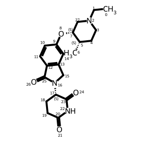 CCN1CC[C@H](C)[C@H](Oc2ccc3c(c2)CN([C@H]2CCC(=O)NC2=O)C3=O)C1